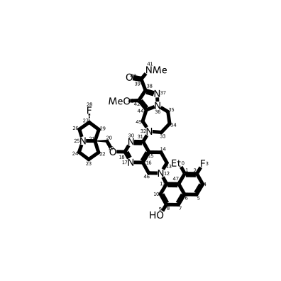 CCc1c(F)ccc2cc(O)cc(N3CCc4c(nc(OC[C@@]56CCCN5C[C@H](F)C6)nc4N4CCCn5nc(C(=O)NC)c(OC)c5C4)C3)c12